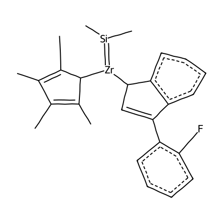 CC1=C(C)[CH]([Zr]([CH]2C=C(c3ccccc3F)c3ccccc32)=[Si](C)C)C(C)=C1C